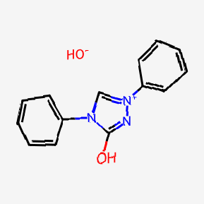 Oc1n[n+](-c2ccccc2)cn1-c1ccccc1.[OH-]